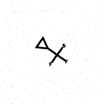 FC(F)([S])C1CC1